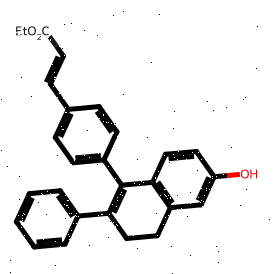 CCOC(=O)C=Cc1ccc(C2=C(c3ccccc3)CCc3cc(O)ccc32)cc1